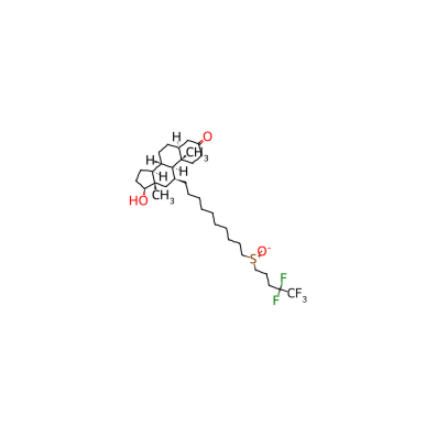 C[C@]12CCC(=O)C[C@@H]1CC[C@@H]1[C@@H]2[C@@H](CCCCCCCCCC[S+]([O-])CCCC(F)(F)C(F)(F)F)C[C@]2(C)[C@@H](O)CC[C@@H]12